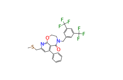 CSCc1cc(-c2ccccc2)c2c(n1)OCCN(Cc1cc(C(F)(F)F)cc(C(F)(F)F)c1)C2=O